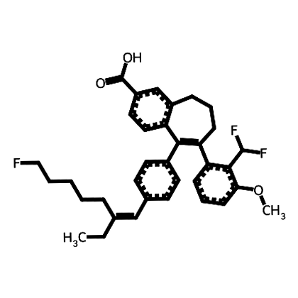 CC/C(=C/c1ccc(C2=C(c3cccc(OC)c3C(F)F)CCCc3cc(C(=O)O)ccc32)cc1)CCCCCF